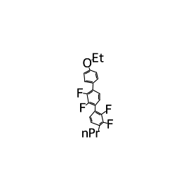 CCCc1ccc(-c2ccc(-c3ccc(OCC)cc3)c(F)c2F)c(F)c1F